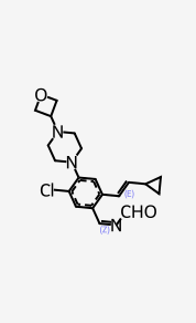 O=C/N=C\c1cc(Cl)c(N2CCN(C3COC3)CC2)cc1/C=C/C1CC1